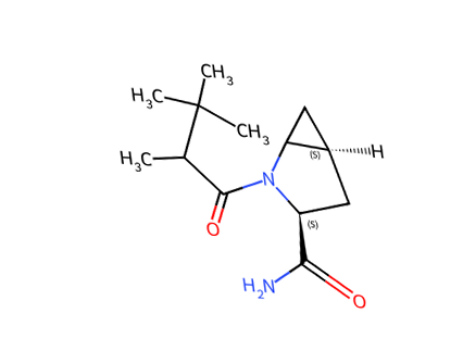 CC(C(=O)N1C2C[C@H]2C[C@H]1C(N)=O)C(C)(C)C